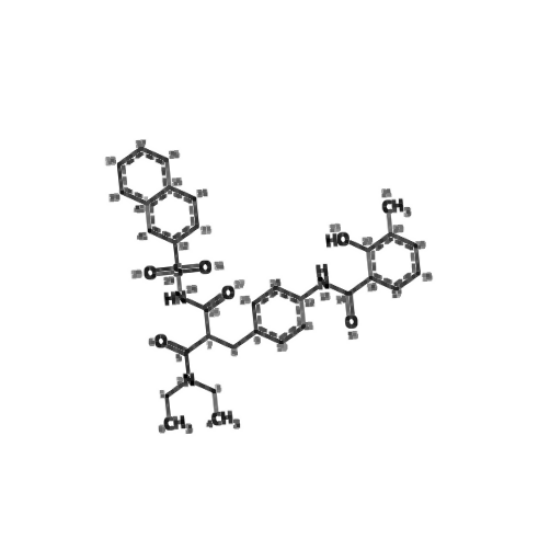 CCN(CC)C(=O)C(Cc1ccc(NC(=O)c2cccc(C)c2O)cc1)C(=O)NS(=O)(=O)c1ccc2ccccc2c1